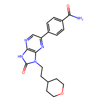 NC(=O)c1ccc(-c2cnc3[nH]c(=O)n(CCC4CCOCC4)c3n2)cc1